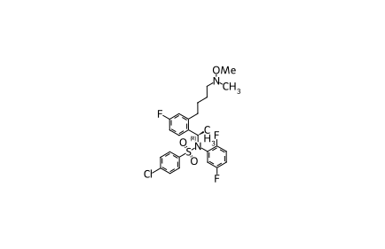 CON(C)CCCCc1cc(F)ccc1[C@@H](C)N(c1cc(F)ccc1F)S(=O)(=O)c1ccc(Cl)cc1